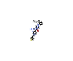 COc1ccccc1CN1CCN(C(=O)[C@H](N)C2CCN(CCc3ccsc3)CC2)CC1